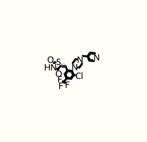 O=C1NC(=O)/C(=C\c2cc(C(F)(F)F)cc(Cl)c2N2CCN(Cc3ccncc3)CC2)S1